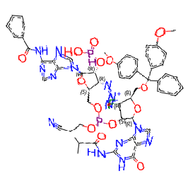 COc1ccc(C(OC[C@H]2O[C@@H](n3cnc4c(=O)[nH]c(NC(=O)C(C)C)nc43)[C@H](OP(OCCC#N)OC[C@H]3O[C@@H](n4cnc5c(NC(=O)c6ccccc6)ncnc54)[C@H](O[PH](=O)O)[C@@H]3N=[N+]=[N-])[C@@H]2F)(c2ccccc2)c2ccc(OC)cc2)cc1